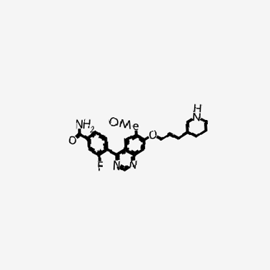 COc1cc2c(-c3ccc(C(N)=O)cc3F)ncnc2cc1OCCCC1CCCNC1